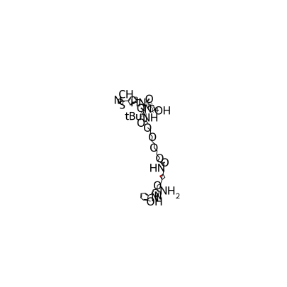 Cc1ncsc1-c1ccc(CNC(=O)[C@@H]2C[C@@H](O)CN2C(=O)[C@@H](NC(=O)COCCOCCOCCOCC(=O)NCC23CC(COc4cc(-c5ccccc5O)nnc4N)(C2)C3)C(C)(C)C)cc1